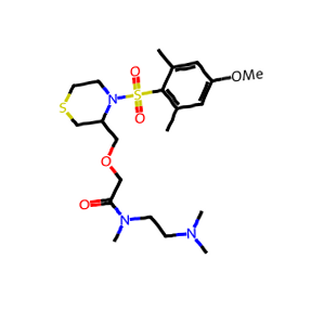 COc1cc(C)c(S(=O)(=O)N2CCSCC2COCC(=O)N(C)CCN(C)C)c(C)c1